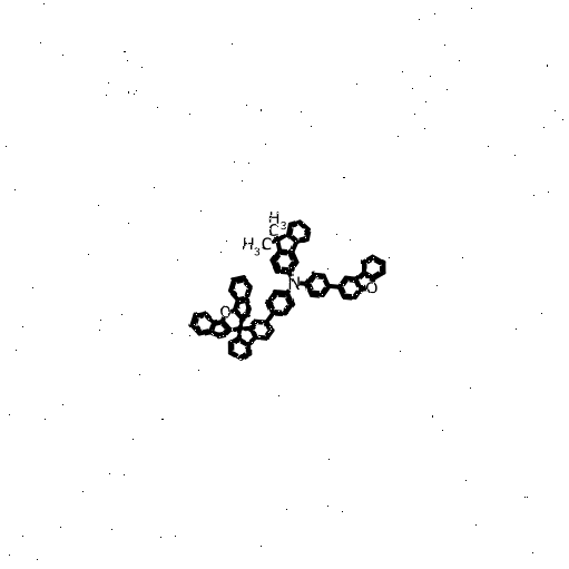 CC1(C)c2ccccc2-c2cc(N(c3ccc(-c4ccc5c(c4)C4(c6ccccc6-5)c5ccc6ccccc6c5Oc5c4ccc4ccccc54)cc3)c3ccc(-c4ccc5oc6ccccc6c5c4)cc3)ccc21